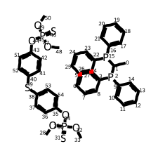 CC(P(c1ccccc1)c1ccccc1)P(c1ccccc1)c1ccccc1.COP(=S)(OC)Oc1ccc(Sc2ccc(OP(=S)(OC)OC)cc2)cc1